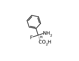 N[C@](F)(C(=O)O)c1ccccc1